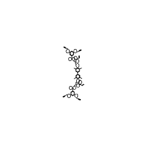 C#CCOc1cc(OCC#C)cc(C(=O)OCC(COc2c(C)cc(-c3cc(C)c(OCC(COC(=O)c4cc(OCC#C)cc(OCC#C)c4)OC(=O)C=C)c(C)c3)cc2C)OC(=O)C=C)c1